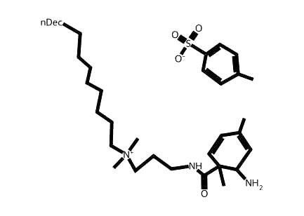 CCCCCCCCCCCCCCCCCC[N+](C)(C)CCCNC(=O)C1(C)C=CC(C)=CC1N.Cc1ccc(S(=O)(=O)[O-])cc1